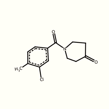 Cc1ccc(C(=O)N2CCC(=O)CC2)cc1Cl